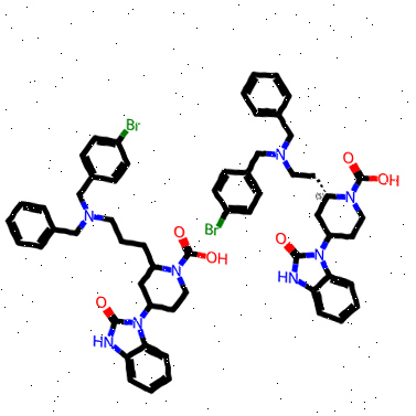 O=C(O)N1CCC(n2c(=O)[nH]c3ccccc32)CC1CCCN(Cc1ccccc1)Cc1ccc(Br)cc1.O=C(O)N1CCC(n2c(=O)[nH]c3ccccc32)C[C@@H]1CCN(Cc1ccccc1)Cc1ccc(Br)cc1